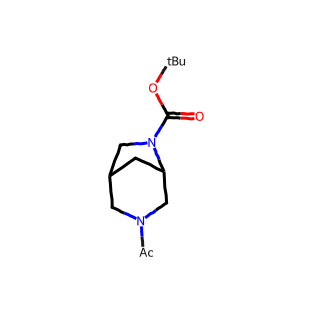 CC(=O)N1CC2CC(C1)N(C(=O)OC(C)(C)C)C2